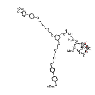 CCCCCCCCCCOc1ccc(-c2ccc(OCCOCCOCCOc3cc(COC(=O)NCC[SiH2]O[Si]45O[Si](C)(OC)O[Si]6(C)O[SiH]7O[Si](C)(C)O[Si](C)(O[Si](C)(O7)O[Si](C)(O6)O4)O5)cc(OCCOCCOCCOc4ccc(-c5ccc(OCCCCCCCCCC)cc5)cc4)c3)cc2)cc1